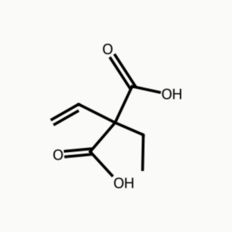 C=CC(CC)(C(=O)O)C(=O)O